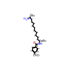 CCCCC(N)CCCCCCCCCC[C@H](CCCC)NC(=O)c1ccc(C=O)cc1